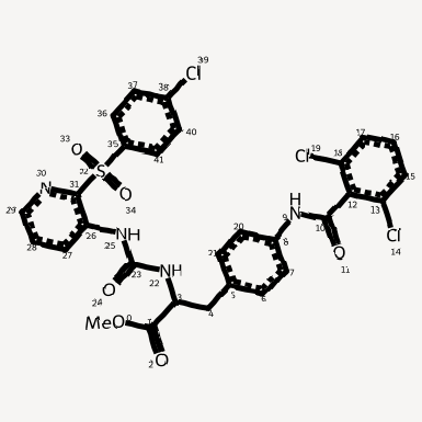 COC(=O)C(Cc1ccc(NC(=O)c2c(Cl)cccc2Cl)cc1)NC(=O)Nc1cccnc1S(=O)(=O)c1ccc(Cl)cc1